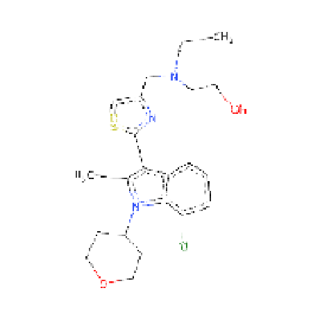 CCN(CCO)Cc1csc(-c2c(C)n(C3CCOCC3)c3c(Cl)cccc23)n1